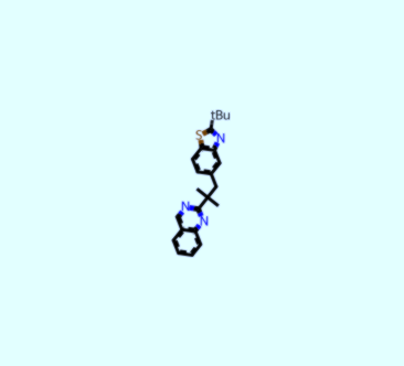 CC(C)(C)c1nc2cc(CC(C)(C)c3ncc4ccccc4n3)ccc2s1